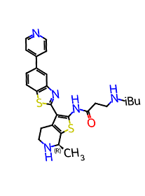 CCC(C)NCCC(=O)Nc1sc2c(c1-c1nc3cc(-c4ccncc4)ccc3s1)CCN[C@@H]2C